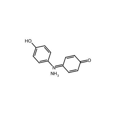 N.O=C1C=CC(=Nc2ccc(O)cc2)C=C1